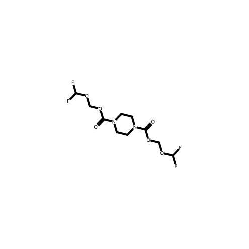 O=C(OCOC(F)F)N1CCN(C(=O)OCOC(F)F)CC1